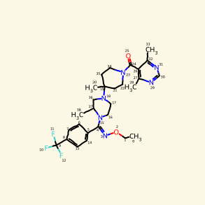 CCO/N=C(/c1ccc(C(F)(F)F)cc1)N1CCN(C2(C)CCN(C(=O)c3c(C)ncnc3C)CC2)CC1C